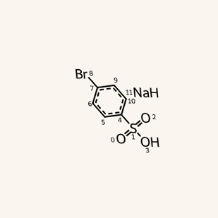 O=S(=O)(O)c1ccc(Br)cc1.[NaH]